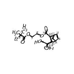 CCC(C)(C)C(=O)OCCOC(=O)C1C2C=CC(C2)C1C(O)O